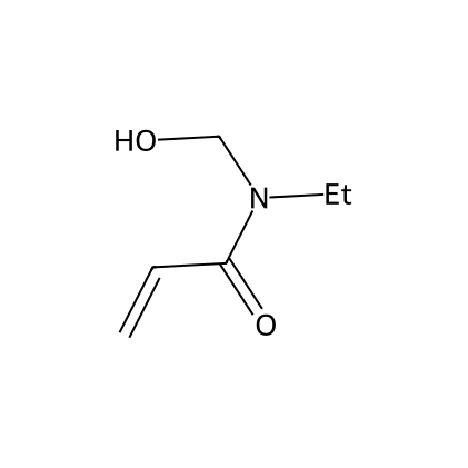 C=CC(=O)N(CC)CO